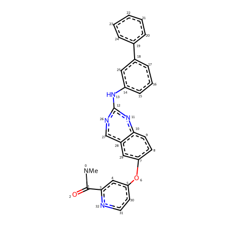 CNC(=O)c1cc(Oc2ccc3nc(Nc4cccc(-c5ccccc5)c4)ncc3c2)ccn1